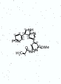 C=CC(=O)Nc1cc(-c2cnc3[nH]cc(-c4ccc(F)nc4)c3c2)cc(OC)n1